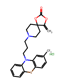 C=C1OC(=O)OC12CCN(CCCN1c3ccccc3Sc3ccc(C(F)(F)F)cc31)CC2.Cl